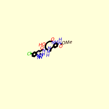 COC(=O)Nc1ccc2c(c1)NC(=O)CCC(O)CC(NC(=O)/C=C/c1cc(Cl)ccc1-n1cnnn1)c1nc-2c[nH]1